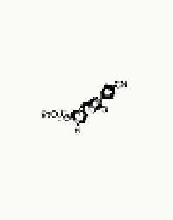 CCOC(=O)OC1CN(CC2CN(c3ccc(C#N)cc3)C(=O)O2)CCN1